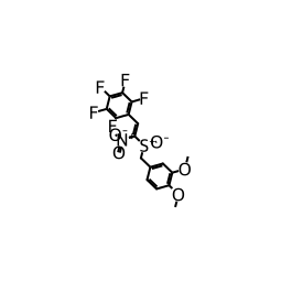 COc1ccc(C[S+]([O-])C(=Cc2c(F)c(F)c(F)c(F)c2F)[N+](=O)[O-])cc1OC